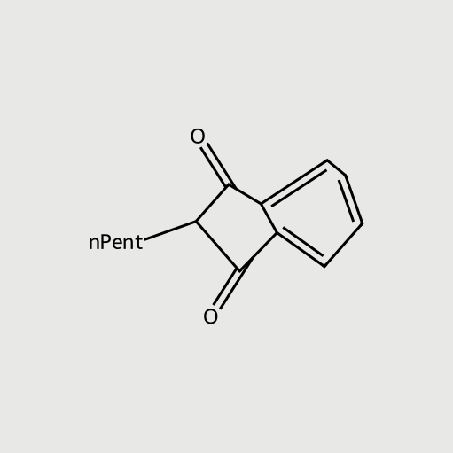 CCCCCC1C(=O)c2ccccc2C1=O